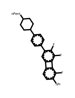 CCCCCC1CCC(c2ccc(-c3cc4c(c(F)c3F)-c3c-4ccc(CCC)c3F)cc2)CC1